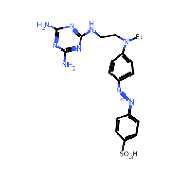 CCN(CCNc1nc(N)nc(N)n1)c1ccc(/N=N/c2ccc(S(=O)(=O)O)cc2)cc1